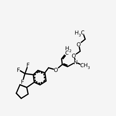 C=C/C(=C\N(C)OCOCC)OCc1ccc(C2CCCC2)c(C(F)(F)F)c1